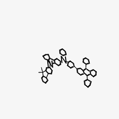 CC1(C)c2ccccc2-c2ccc(-n3c4ccccc4c4cc(N(c5ccccc5)c5ccc(-c6ccc7c(-c8ccccc8)c8ccccc8c(-c8ccccc8)c7c6)cc5)ccc43)cc21